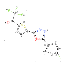 O=C(c1ccc(-c2nnc(-c3ccc(F)cc3)o2)s1)C(F)(F)F